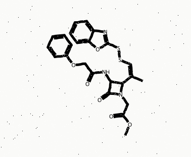 COC(=O)CN1C(=O)C(NC(=O)COc2ccccc2)C1C(C)=CSSc1nc2ccccc2o1